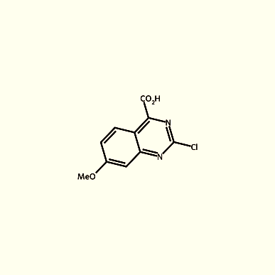 COc1ccc2c(C(=O)O)nc(Cl)nc2c1